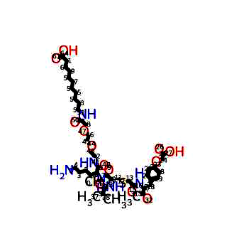 C=C(CCCN)[C@H](NC(=O)[C@H](CSCC(=O)N[C@@H](Cc1ccc(OCC(=O)O)cc1)C(C)=O)NC(=O)C(C)C)C(=O)NCCOCCOCC(=O)NCCCCCCCCCCC(=O)O